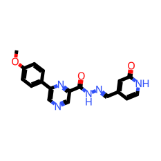 COc1ccc(-c2cncc(C(=O)NN=Cc3cc[nH]c(=O)c3)n2)cc1